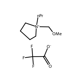 CCC[N+]1(COC)CCCC1.O=C([O-])C(F)(F)F